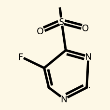 CS(=O)(=O)c1n[c]ncc1F